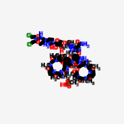 CN(C)/N=N/c1[nH]cnc1C(N)=O.CS(=O)(=O)O.Cc1c2oc3c(C)ccc(C(=O)NC4C(=O)NC(C(C)C)C(=O)N5CCCC5C(=O)N(C)CC(=O)N(C)C(C(C)C)C(=O)OC4C)c3nc-2c(C(=O)NC2C(=O)NC(C(C)C)C(=O)N3CCCC3C(=O)N(C)CC(=O)N(C)C(C(C)C)C(=O)OC2C)c(N)c1=O.Nc1ccn([C@@H]2O[C@H](CO)[C@@H](O)[C@@H]2O)c(=O)n1.O=P1(N(CCCl)CCCl)NCCCO1